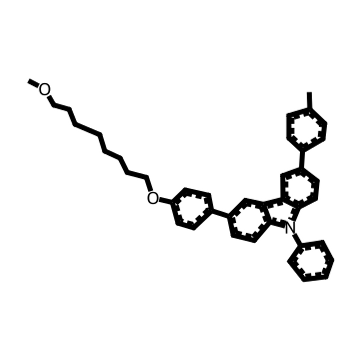 COCCCCCCCCOc1ccc(-c2ccc3c(c2)c2cc(-c4ccc(C)cc4)ccc2n3-c2ccccc2)cc1